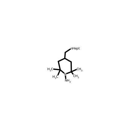 CCCCCCCCC1CC(C)(C)N(N)C(C)(C)C1